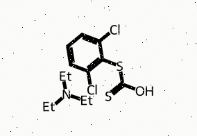 CCN(CC)CC.OC(=S)Sc1c(Cl)cccc1Cl